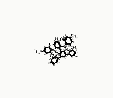 Cc1cc(C)c(B2c3cccc4c3-c3c5c(cc6c7ccccc7n(c36)B4c3c(C)cc(C)cc3C)c3ccccc3n52)c(C)c1